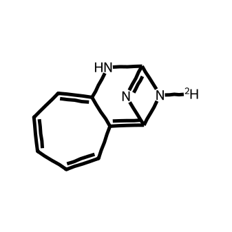 [2H]N1C2=NC1=C1C=CC=CC=C1N2